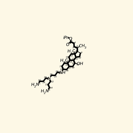 CC(C)OC(=O)CC[C@@H](C)[C@H]1CCC2C3C(CC[C@@]21C)[C@@]1(C)CCC(NCCCN(CCCN)CCCN)CC1C[C@@H]3O